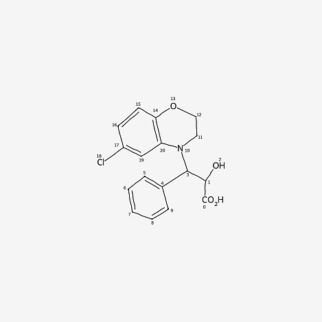 O=C(O)C(O)C(c1ccccc1)N1CCOc2ccc(Cl)cc21